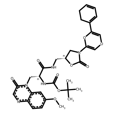 COc1ccc2ncc(=O)n(C[C@@H](NC(=O)OC(C)(C)C)C(=O)NC[C@@H]3CN(C4=COC=C(C5=CC=CCC5)O4)C(=O)O3)c2c1